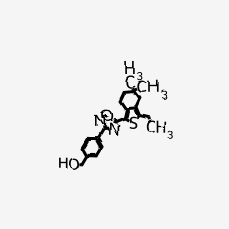 CCc1sc(-c2nc(-c3ccc(CO)cc3)no2)c2c1CC(C)(C)CC2